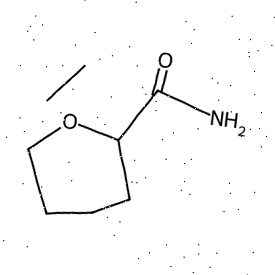 CC.NC(=O)C1CCCCO1